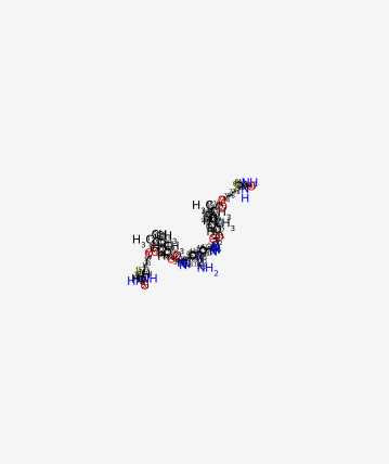 CC([C@H](C)CCC(=O)OCCCCCC1SC[C@@H]2NC(=O)N[C@H]12)C1(C)CCC2[C@@H](CC[C@H]3C[C@H](OC(=O)Cn4cc(-c5ccc6c7ccc(-c8cn(CC(=O)O[C@@H]9CCC%10(C)C%11CCC%12(C)C([C@H](C)CCC(=O)OCCCCC[C@@H]%13SCC%14NC(=O)NC%14%13)CC[C@H]%12[C@@H]%11CC[C@@H]%10C9)nn8)cc7n(CCN)c6c5)nn4)CCC23C)C1